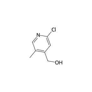 Cc1cnc(Cl)cc1CO